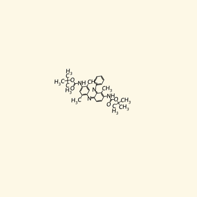 CC1=C(NC(=O)OC(C)(C)C)C=CC(=N/c2cc(C)c(NC(=O)OC(C)(C)C)cc2C)/C1=N/c1ccccc1